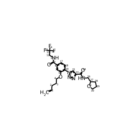 C=CCCCOc1cc(C(=O)NCC(F)(F)F)ccc1-n1cc(C(=O)NCC2CCCO2)nn1